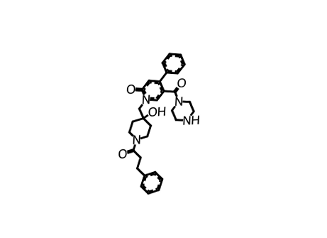 O=C(CCc1ccccc1)N1CCC(O)(Cn2cc(C(=O)N3CCNCC3)c(-c3ccccc3)cc2=O)CC1